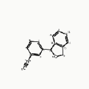 [C-]#[N+]c1cccc(C2OCc3cnccc32)c1